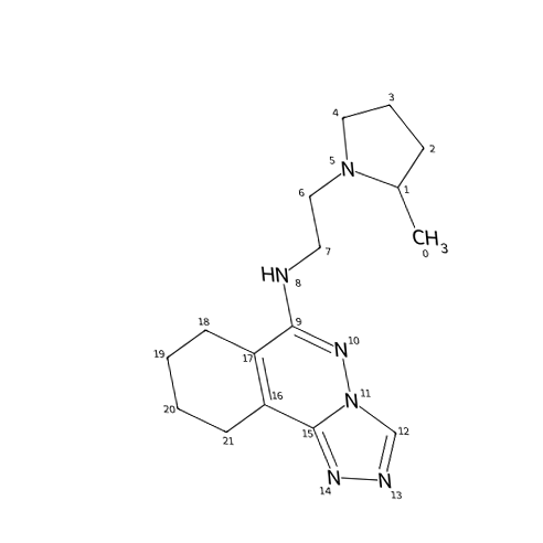 CC1CCCN1CCNc1nn2cnnc2c2c1CCCC2